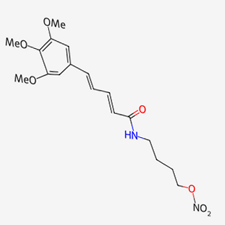 COc1cc(C=CC=CC(=O)NCCCCO[N+](=O)[O-])cc(OC)c1OC